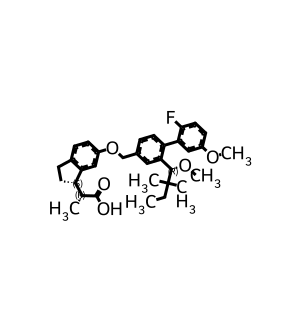 CCC(C)(C)[C@@H](OC)c1cc(COc2ccc3c(c2)[C@H]([C@@H](C)C(=O)O)CC3)ccc1-c1cc(OC)ccc1F